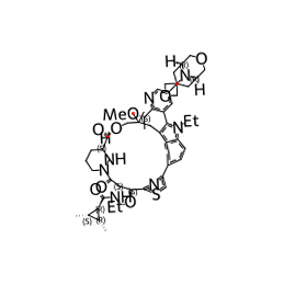 CCO[C@@H]1c2nc(cs2)-c2ccc3c(c2)c(c(-c2cc(C4C[C@@H]5COC[C@@H](C4)N5C4COC4)cnc2[C@H](C)OC)n3CC)CC(C)(C)COC(=O)[C@@H]2CCCN(N2)C(=O)[C@H]1NC(=O)[C@H]1[C@H](C)[C@@H]1C